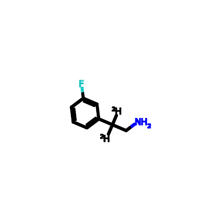 [2H]C([2H])(CN)c1cccc(F)c1